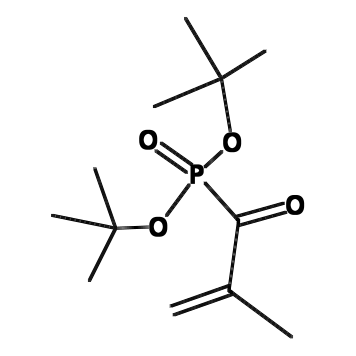 C=C(C)C(=O)P(=O)(OC(C)(C)C)OC(C)(C)C